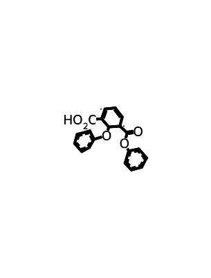 O=C(Oc1ccccc1)[C]1C=C[C]=C(C(=O)O)C1Oc1ccccc1